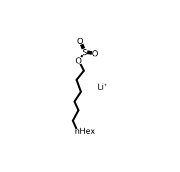 CCCCCCCCCCCCO[S-](=O)=O.[Li+]